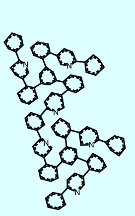 c1ccc(-c2ccc(-c3ccccc3-c3cc(-c4ccccc4-c4ccc(-c5ccccc5)nc4)cc(-c4ccccc4-c4ccc(-c5cccc(-c6ccc(-c7ccccc7-c7cc(-c8ccccc8-c8ccc(-c9ccccc9)nc8)cc(-c8ccccc8-c8ccc(-c9ccccc9)nc8)c7)cn6)c5)nc4)c3)cn2)cc1